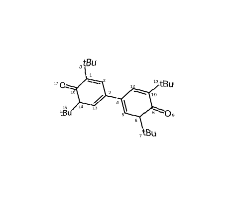 CC(C)(C)C1=CC(C2=CC(C(C)(C)C)C(=O)C(C(C)(C)C)=C2)=CC(C(C)(C)C)C1=O